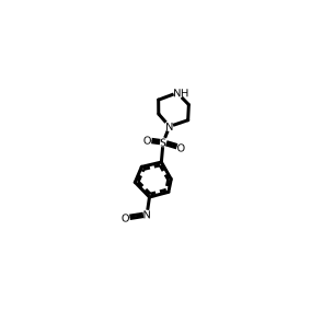 O=Nc1ccc(S(=O)(=O)N2CCNCC2)cc1